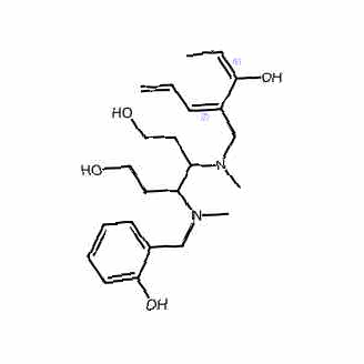 C=C/C=C(CN(C)C(CCO)C(CCO)N(C)Cc1ccccc1O)\C(O)=C/C